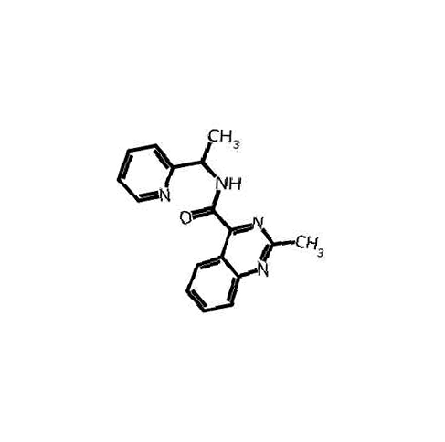 Cc1nc(C(=O)NC(C)c2ccccn2)c2ccccc2n1